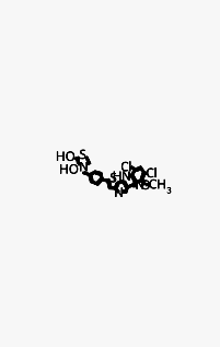 COc1cc(Nc2c(C#N)cnc3cc(-c4ccc(CN5CCSC(O)C5O)cc4)sc23)c(Cl)cc1Cl